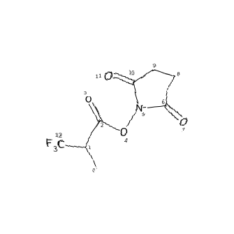 CC(C(=O)ON1C(=O)CCC1=O)C(F)(F)F